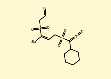 C=CCS(=O)(=O)C(=CCS(=O)(=O)C(=[N+]=[N-])C1CCCCC1)C(C)(C)C